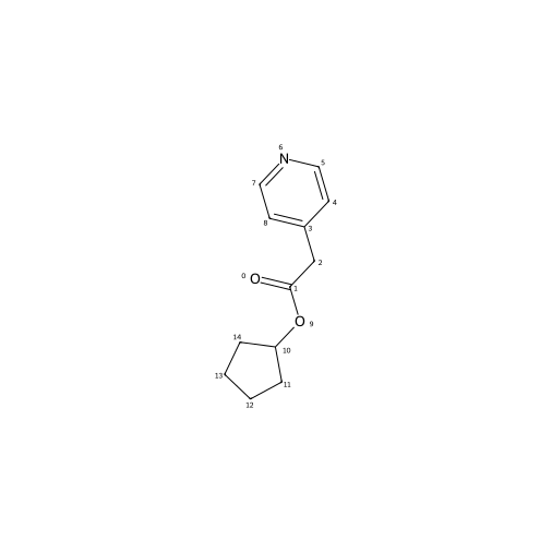 O=C(Cc1ccncc1)OC1CCCC1